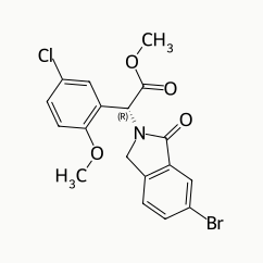 COC(=O)[C@@H](c1cc(Cl)ccc1OC)N1Cc2ccc(Br)cc2C1=O